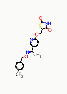 C/C(=N\OCc1ccc(C(F)(F)F)cc1)c1ccc(OCC2SC(=O)NC2=O)nc1